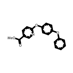 COC(=O)c1ccc(Oc2ccc(Oc3ccccc3)cc2)nc1